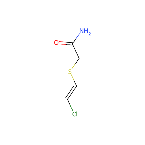 NC(=O)CSC=CCl